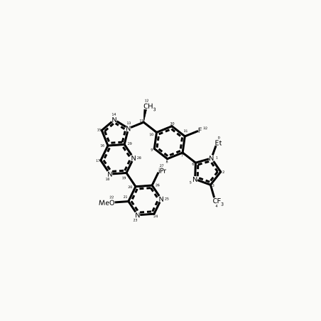 CCn1cc(C(F)(F)F)nc1-c1ccc([C@H](C)n2ncc3cnc(-c4c(OC)ncnc4C(C)C)nc32)cc1F